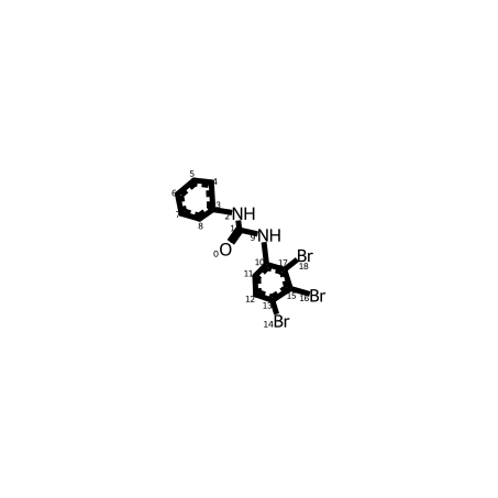 O=C(Nc1ccccc1)Nc1ccc(Br)c(Br)c1Br